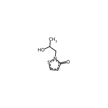 CC(O)Cn1sccc1=O